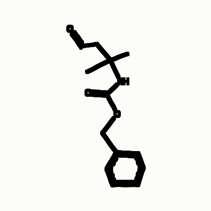 CC(C)(C[C]=O)NC(=O)OCc1ccccc1